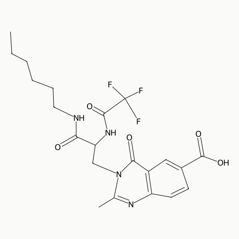 CCCCCCNC(=O)C(Cn1c(C)nc2ccc(C(=O)O)cc2c1=O)NC(=O)C(F)(F)F